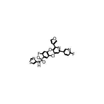 O=S(=O)(Nc1cscn1)c1cc(Cl)c(Oc2ccc(-c3ccc(F)nc3)nc2-c2ccoc2)cc1F